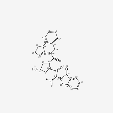 CC(C)[C@@H](C(=O)N1C[C@H](O)C[C@H]1C(=O)NCc1ccccc1C1C=CCC1)N1Cc2ccccc2C1=O